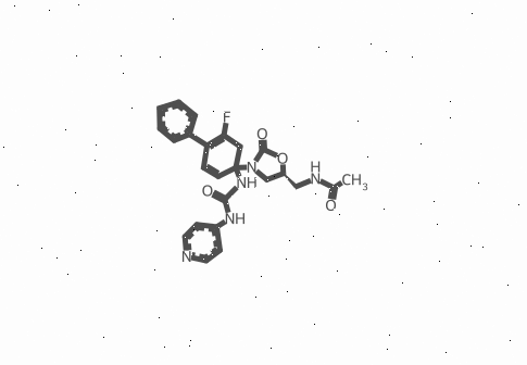 CC(=O)NC[C@H]1CN(C2(NC(=O)Nc3ccncc3)C=CC(c3ccccc3)=C(F)C2)C(=O)O1